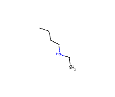 CCCCNC[SiH3]